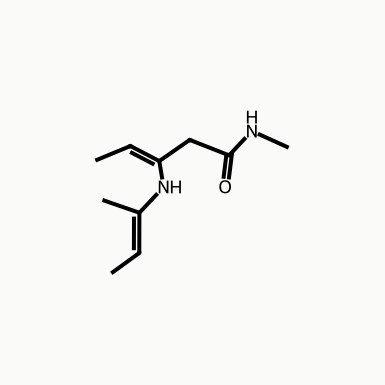 C/C=C(/CC(=O)NC)N/C(C)=C/C